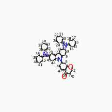 Cc1coc2cc(-n3c4ccc(N(c5ccccc5)c5ccccc5)cc4c4cc(N(c5ccccc5)c5ccccc5)ccc43)ccc2c1=O